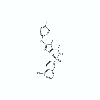 CC(NS(=O)(=O)c1ccc2c(Cl)cccc2c1)c1cnc(Oc2ccc(F)cc2)n1C